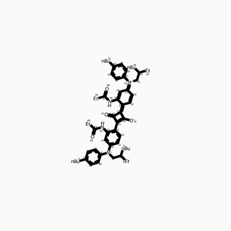 CCCCc1ccc(N(CC(CC)CCCC)c2ccc(C3=C([O-])/C(=C4C=C/C(=[N+](\CC(CC)CCCC)c5ccc(CCCC)cc5)C=C\4NC(=O)CC)C3=O)c(NC(=O)CC)c2)cc1